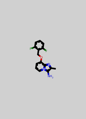 Cc1nc2c(OCc3c(F)cccc3F)cccn2c1N